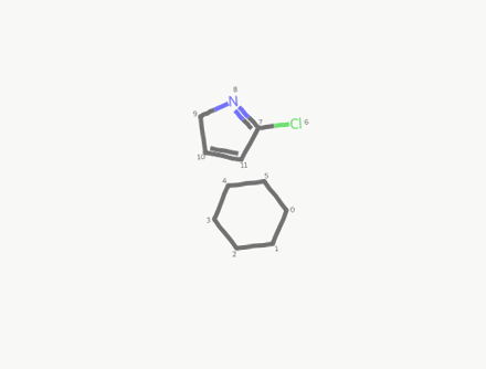 C1CCCCC1.ClC1=NCC=C1